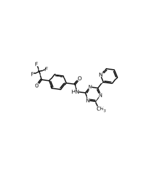 Cc1nc(NC(=O)c2ccc(C(=O)C(F)(F)F)cc2)nc(-c2ccccn2)n1